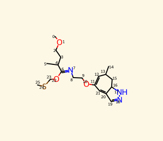 COCCC(C)/C(=N/CCOC1=CC(C)CC2NN=CC2=C1)OCSC